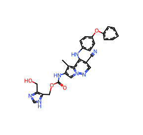 Cc1c(NC(=O)OCc2[nH]cnc2CO)cn2ncc(C#N)c(Nc3ccc(Oc4ccccc4)cc3)c12